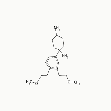 COCCc1ccc(C2(N)CCC(N)CC2)cc1CCOC